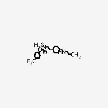 C=CCNC[C@H]1CC[C@H](CCN(C)C(=O)Oc2ccc(C(F)(F)F)cc2)CC1